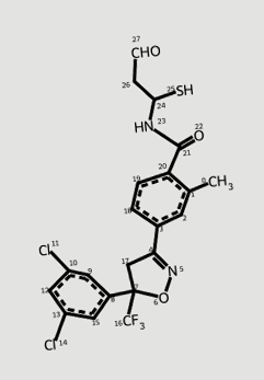 Cc1cc(C2=NOC(c3cc(Cl)cc(Cl)c3)(C(F)(F)F)C2)ccc1C(=O)NC(S)CC=O